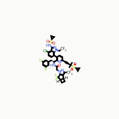 CC(C)(C#Cc1ccc(-c2ccc(Cl)c3c(NS(=O)(=O)C4CC4)nn(CC(F)(F)F)c23)c([C@H](Cc2cc(F)cc(F)c2)NC(=O)Cn2nc(C(F)(F)F)c3c2C(F)(F)[C@@H]2CC[C@H]32)n1)S(=O)(=O)C1CC1